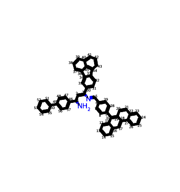 NC(/C=C(\N=C\c1ccc(-c2c3ccccc3cc3c2ccc2ccccc23)cc1)c1ccc2c(c1)-c1cccc3cccc-2c13)c1ccc(-c2ccccc2)cc1